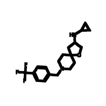 FC(F)(F)c1ccc(CN2CCC3(CC2)CC(NC2CC2)CO3)cc1